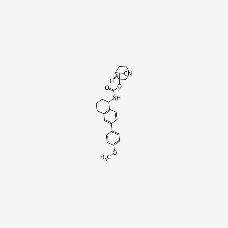 COc1ccc(-c2ccc3c(c2)CCCC3NC(=O)O[C@H]2CN3CCC2CC3)cc1